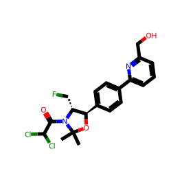 CC1(C)O[C@H](c2ccc(-c3cccc(CO)n3)cc2)[C@@H](CF)N1C(=O)C(Cl)Cl